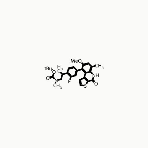 COc1cc(C)c2[nH]c(=O)c3sccc3c2c1-c1ccc(C(C)CN(C)C(=O)OC(C)(C)C)c(F)c1